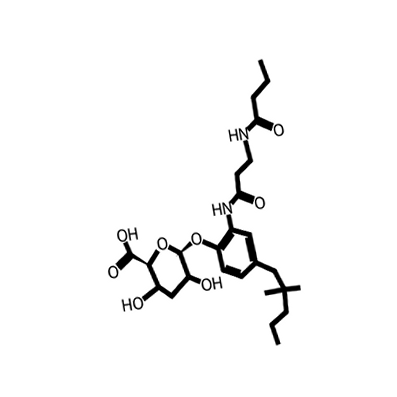 CCCC(=O)NCCC(=O)Nc1cc(CC(C)(C)CCC)ccc1O[C@@H]1O[C@H](C(=O)O)C(O)CC1O